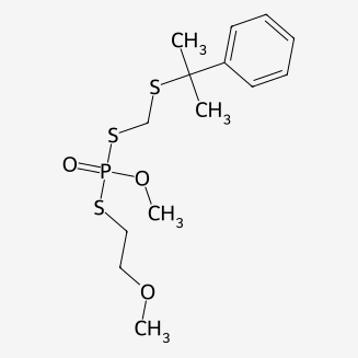 COCCSP(=O)(OC)SCSC(C)(C)c1ccccc1